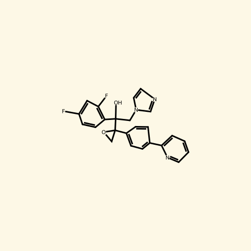 OC(Cn1ccnc1)(c1ccc(F)cc1F)C1(c2ccc(-c3ccccn3)cc2)CO1